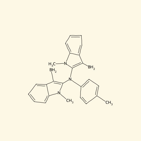 Bc1c(N(c2ccc(C)cc2)c2c(B)c3ccccc3n2C)n(C)c2ccccc12